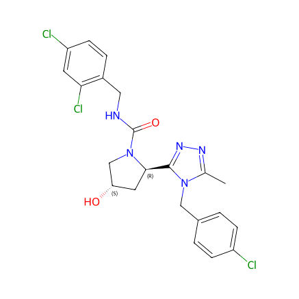 Cc1nnc([C@H]2C[C@H](O)CN2C(=O)NCc2ccc(Cl)cc2Cl)n1Cc1ccc(Cl)cc1